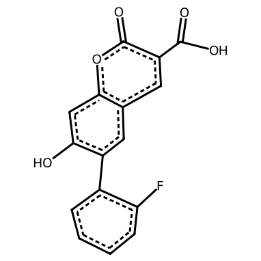 O=C(O)c1cc2cc(-c3ccccc3F)c(O)cc2oc1=O